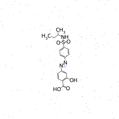 CCC(C)NS(=O)(=O)c1ccc(/N=N/c2ccc(C(=O)O)c(O)c2)cc1